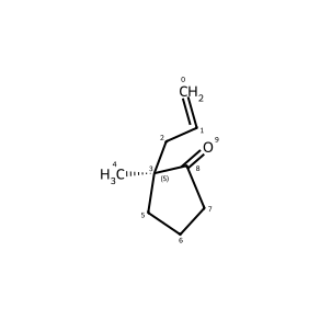 C=CC[C@]1(C)CCCC1=O